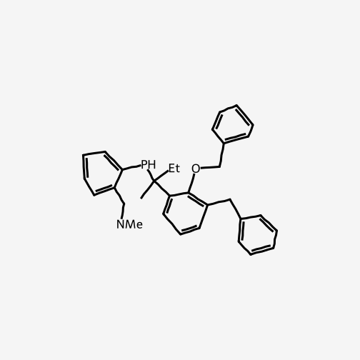 CCC(C)(Pc1ccccc1CNC)c1cccc(Cc2ccccc2)c1OCc1ccccc1